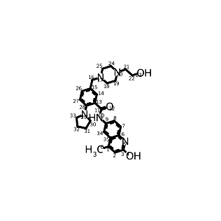 Cc1cc(O)nc2ccc(NC(=O)c3cc(CN4CCN(CCO)CC4)ccc3N3CCCC3)cc12